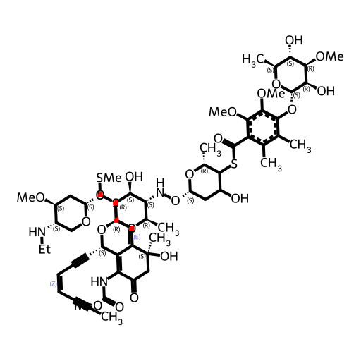 CC#C/C=C\C#C[C@H](O[C@@H]1O[C@H](C)[C@@H](NO[C@H]2CC(O)C(SC(=O)c3c(C)c(C)c(O[C@@H]4O[C@@H](C)[C@H](O)[C@@H](OC)[C@H]4O)c(OC)c3OC)[C@@H](C)O2)[C@H](O)[C@H]1O[C@H]1C[C@H](OC)[C@@H](NCC)CO1)C1=C(NC(=O)OC)C(=O)C[C@](C)(O)/C1=C/CSSSC